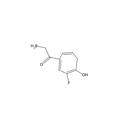 BCC(=O)C1=CC(F)=C(O)CC=C1